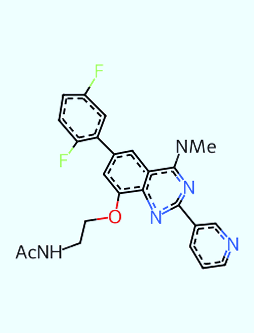 CNc1nc(-c2cccnc2)nc2c(OCCNC(C)=O)cc(-c3cc(F)ccc3F)cc12